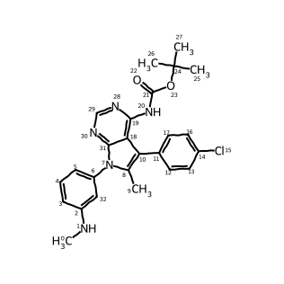 CNc1cccc(-n2c(C)c(-c3ccc(Cl)cc3)c3c(NC(=O)OC(C)(C)C)ncnc32)c1